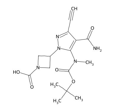 C#Cc1nn(C2CN(C(=O)O)C2)c(N(C)C(=O)OC(C)(C)C)c1C(N)=O